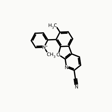 Cc1ccc2c(oc3nc(C#N)ccc32)c1-c1cccc[n+]1C